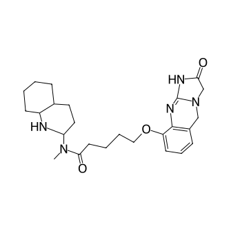 CN(C(=O)CCCCOc1cccc2c1N=C1NC(=O)CN1C2)C1CCC2CCCCC2N1